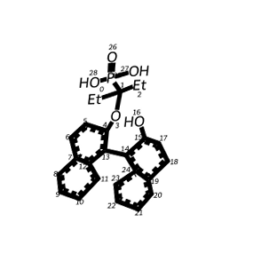 CCC(CC)(Oc1ccc2ccccc2c1-c1c(O)ccc2ccccc12)P(=O)(O)O